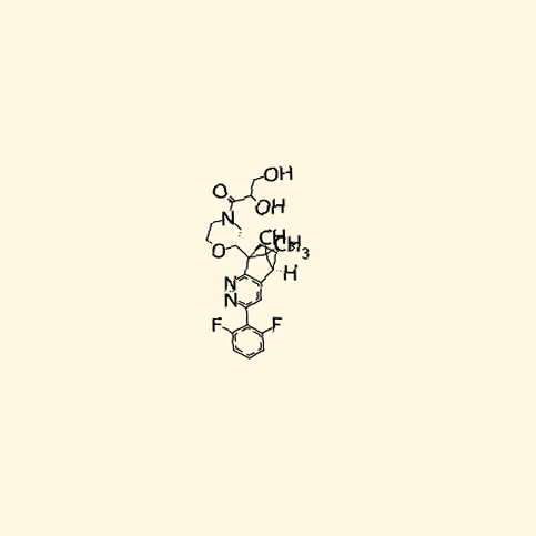 CC1(C)[C@H]2CC[C@]1([C@H]1CN(C(=O)C(O)CO)CCO1)c1nnc(-c3c(F)cccc3F)cc12